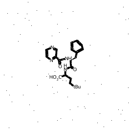 CC(C)(C)CCC(NC(=O)[C@H](Cc1ccccc1)NC(=O)c1cnccn1)C(=O)O